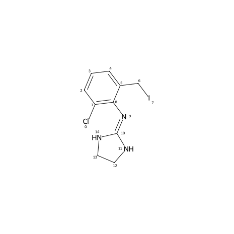 Clc1cccc(CI)c1N=C1NCCN1